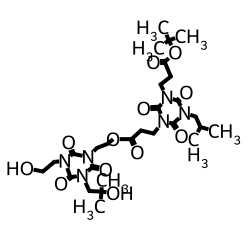 CC(C)Cn1c(=O)n(CCC(=O)OCCn2c(=O)n(CCO)c(=O)n(CC(C)(C)O)c2=O)c(=O)n(CCC(=O)OC(C)(C)C)c1=O